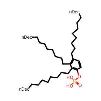 CCCCCCCCCCCCCCCCCCc1ccc(OP(=O)(O)O)c(CCCCCCCCCCCCCCCCCC)c1CCCCCCCCCCCCCCCCCC